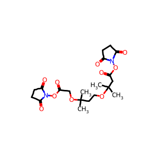 CC(C)(CCOC(C)(C)CC(=O)ON1C(=O)CCC1=O)OCC(=O)ON1C(=O)CCC1=O